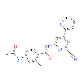 CC(=O)Nc1ccc(C(=O)Nc2nc(C#N)nc(-c3ccccn3)n2)c(C)c1